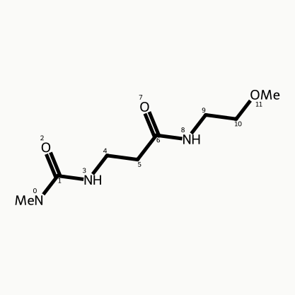 CNC(=O)NCCC(=O)NCCOC